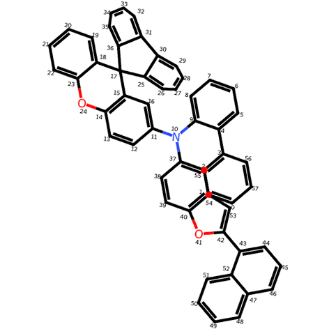 c1ccc(-c2ccccc2N(c2ccc3c(c2)C2(c4ccccc4O3)c3ccccc3-c3ccccc32)c2ccc3oc(-c4cccc5ccccc45)cc3c2)cc1